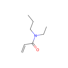 C=CC(=O)N(CC)CCC